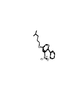 CC(C)CCCOc1cnc(-c2ccccc2)c([N+](=O)[O-])c1